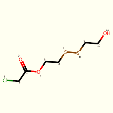 O=C(CCl)OCCSSCCO